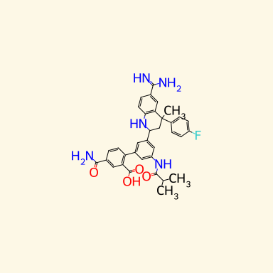 CC(C)C(=O)Nc1cc(-c2ccc(C(N)=O)cc2C(=O)O)cc(C2CC(C)(c3ccc(F)cc3)c3cc(C(=N)N)ccc3N2)c1